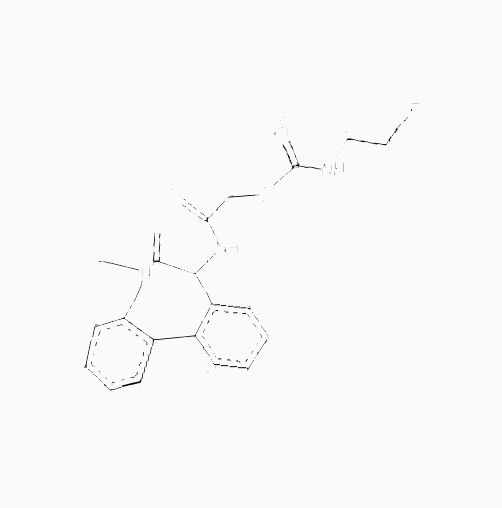 C[C@H](OC(=O)NCCF)C(=O)NC1C(=O)N(C)c2ccccc2-c2ccccc21